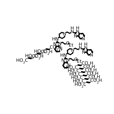 CCOCCn1c(NC2CCN(CCNc3nc4cnccc4[nH]3)CC2)nc2cccnc21.CCOCCn1c(NC2CCN(CCNc3nc4cnccc4[nH]3)CC2)nc2cccnc21.O=C(O)C=CC(=O)O.O=C(O)C=CC(=O)O.O=C(O)C=CC(=O)O.O=C(O)C=CC(=O)O.O=C(O)C=CC(=O)O.O=C(O)C=CC(=O)O.O=C(O)C=CC(=O)O.O=C(O)C=CC(=O)O.O=C(O)C=CC(=O)O